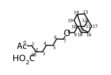 CC(=O)C[C@H](CCCCCOCC12CC3CC(CC(C3)C1)C2)C(=O)O